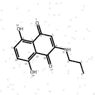 CCCNC1=CC(=O)c2c(O)ccc(O)c2C1=O